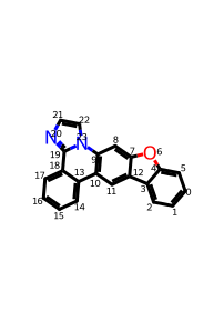 c1ccc2c(c1)oc1cc3c(cc12)c1ccccc1c1nccn31